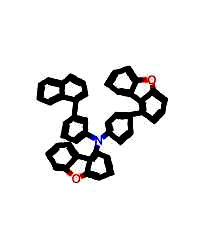 c1cc(-c2cccc3ccccc23)cc(N(c2ccc(-c3cccc4oc5ccccc5c34)cc2)c2cccc3oc4ccccc4c23)c1